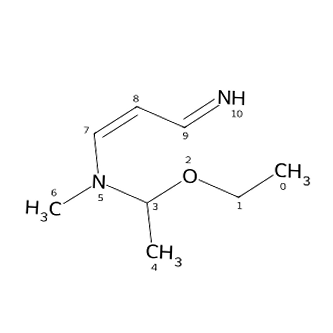 CCOC(C)N(C)/C=C\C=N